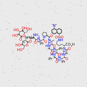 CC(=O)NC1[C@@H](OC(C)[C@H](N)C(=O)NC(C(=O)N2CCC[C@H]2C(=O)NC(C)C(=O)N[C@@H](C)C(=O)NC(C(=O)N[C@H](C(=O)NC(C(=O)N[C@@H](C)C(=O)NC(CCCCNS(=O)(=O)c2cccc3c(N(C)C)cccc23)C(=O)O)C(C)C)C(C)C)C(C)C)C(C)C)OC(CO)[C@H](O)[C@@H]1O[C@@H]1OC(CO)[C@H](O)C(O)[C@@H]1O